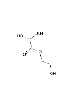 O=C(OCCO)[CH](O)[SbH2]